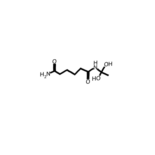 CC(O)(O)NC(=O)CCCCC(N)=O